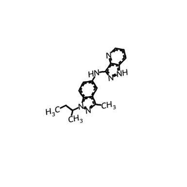 CCC(C)n1nc(C)c2cc(Nc3n[nH]c4cccnc34)ccc21